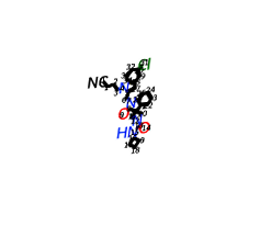 N#CCCCn1c(CN2C(=O)C3(CN(C(=O)NC4CCC4)C3)c3ccccc32)cc2cc(Cl)ccc21